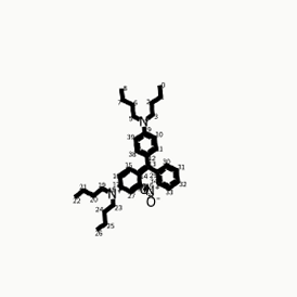 CCCCN(CCCC)c1ccc(C(=C2C=CC(=[N+](CCCC)CCCC)C=C2)c2ccccc2[N+](=O)[O-])cc1